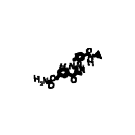 Cc1ccc(C(=O)NC2CC2)cc1-n1ncc(C(=O)c2cccc(COC(N)=O)c2)c1N